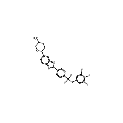 CC1CCC(c2ccc3nc(-c4ccc(C(F)(F)Oc5cc(F)c(F)c(F)c5)nc4)sc3c2)OC1